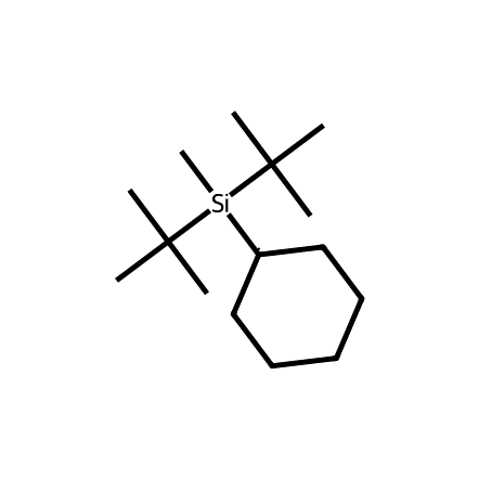 CC(C)(C)[Si](C)([C]1CCCCC1)C(C)(C)C